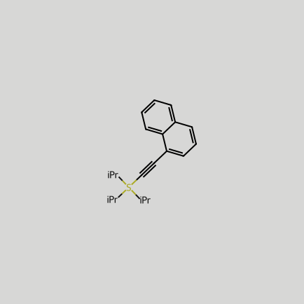 CC(C)S(C#Cc1cccc2ccccc12)(C(C)C)C(C)C